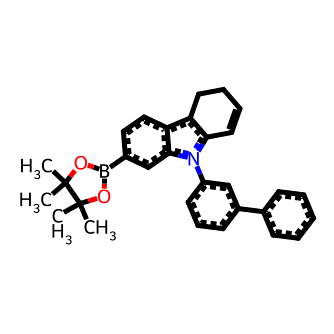 CC1(C)OB(c2ccc3c4c(n(-c5cccc(-c6ccccc6)c5)c3c2)C=CCC4)OC1(C)C